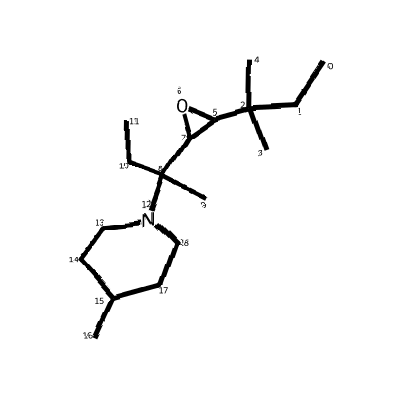 CCC(C)(C)C1OC1C(C)(CC)N1CCC(C)CC1